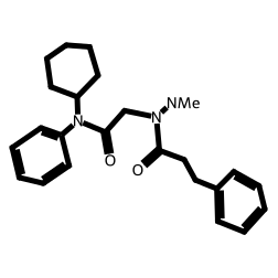 CNN(CC(=O)N(c1ccccc1)C1CCCCC1)C(=O)CCc1ccccc1